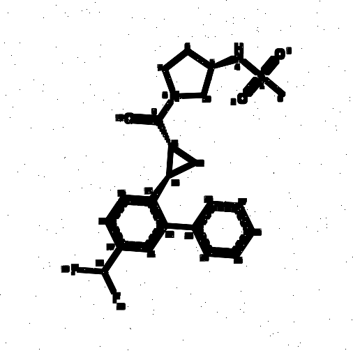 CS(=O)(=O)N[C@@H]1CCN(C(=O)[C@@H]2C[C@H]2c2ccc(C(F)F)cc2-c2ccccc2)C1